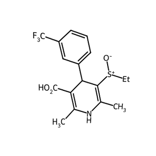 CC[S+]([O-])C1=C(C)NC(C)=C(C(=O)O)C1c1cccc(C(F)(F)F)c1